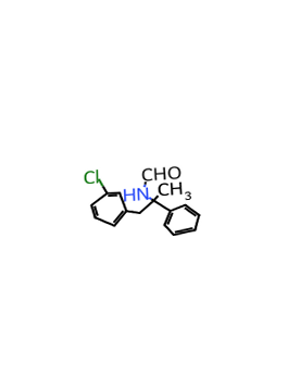 CC(Cc1cccc(Cl)c1)(NC=O)c1ccccc1